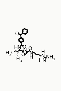 CC[C@H](C)[C@H](NC(=O)c1ccc(C(=O)c2ccccc2)cc1)c1nc(C(=O)NCCCCNC(=N)N)co1